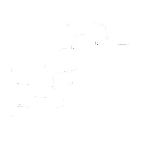 O=C(c1ccn(C2CC2)n1)N1CCC2(CC1)OC1CCC(c3cc(F)cc(F)c3)N1C2=O